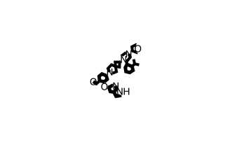 CC(C)c1ccccc1C1CN(C2CCOC2)CCN1C1CC2(CCN(c3ccc(C=O)c(Oc4cnc5[nH]ccc5c4)c3)CC2)C1